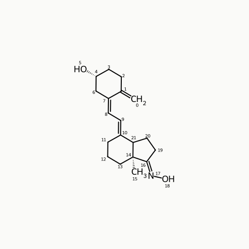 C=C1CC[C@@H](O)C/C1=C/C=C1\CCC[C@]2(C)/C(=N/O)CCC12